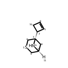 C1=CC([C@]23CSC[C@H](C2)N3)C1